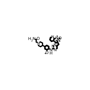 COc1cc(C2CCN(CC(N)=O)CC2)ccc1Nc1ncc2ccc(-c3cccnc3N(C)S(C)(=O)=O)n2n1